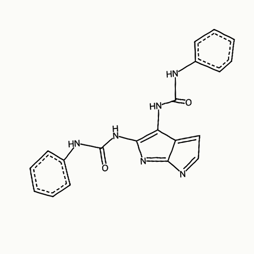 O=C(NC1=C(NC(=O)Nc2ccccc2)C2=CC=NC2=N1)Nc1ccccc1